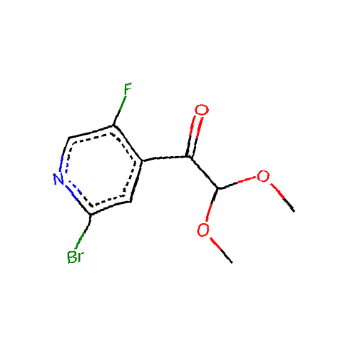 COC(OC)C(=O)c1cc(Br)ncc1F